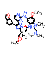 C=CC(=O)Nc1cc(Nc2nccc(-c3[nH]c(CCOC)nc3-c3ccc4ccoc4c3)n2)c(OC)cc1N(C)CCN(C)C